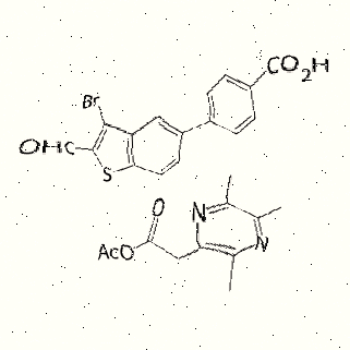 CC(=O)OC(=O)Cc1nc(C)c(C)nc1C.O=Cc1sc2ccc(-c3ccc(C(=O)O)cc3)cc2c1Br